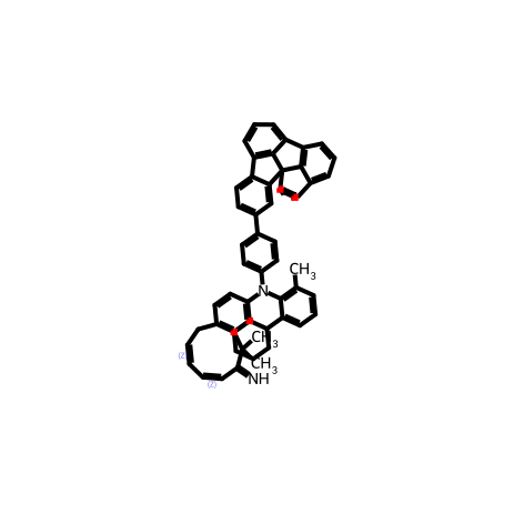 Cc1cccc(C2CCCCC2)c1N(c1ccc(-c2ccc3c(c2)C24c5ccccc5-c5cccc(c52)-c2cccc-3c24)cc1)c1ccc2c(c1)C(C)(C)C(=N)/C=C\C=C/C2